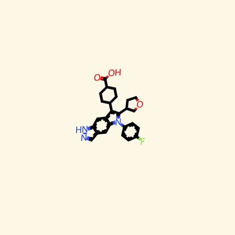 O=C(O)C1CCC(c2c(C3CCOC3)n(-c3ccc(F)cc3)c3cc4cn[nH]c4cc23)CC1